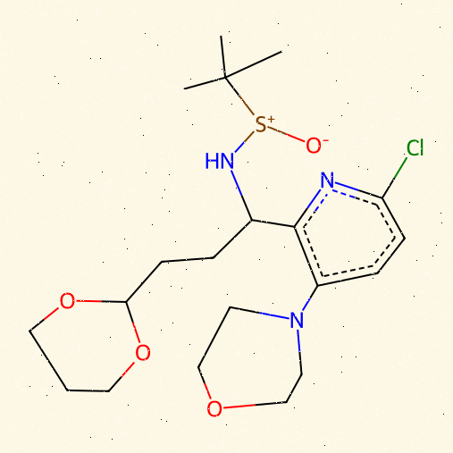 CC(C)(C)[S+]([O-])NC(CCC1OCCCO1)c1nc(Cl)ccc1N1CCOCC1